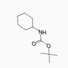 CC(C)(C)OC(=O)N[C]1CCCCC1